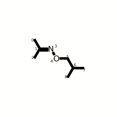 [CH2]C(C)=NOCC(C)C